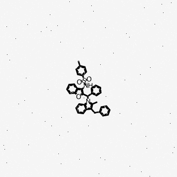 Cc1ccc(S(=O)(=O)Nc2c(C(c3ccccc3)n3c(C)c(Cc4ccccc4)c4ccccc43)oc3ccccc23)cc1